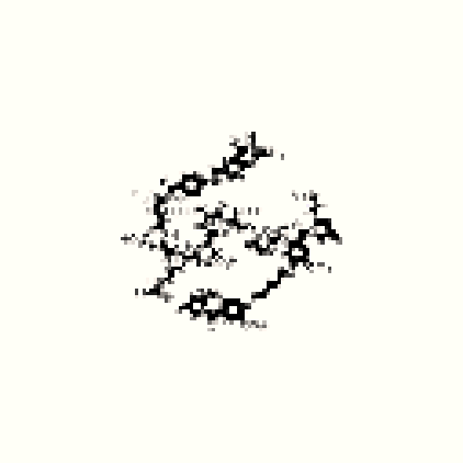 C=C1C[C@H]2C=Nc3cc(OCCCCCOc4cc(NC(O)OCC(C)SSC[C@H](NC(=O)[C@H](CC(=O)O)NC(=O)[C@H](CC(=O)O)NC(=O)[C@H](CCCNC(=N)N)NC(=O)[C@H](CC(=O)O)NC(=O)CC[C@H](NC(=O)c5ccc(NCc6cnc7nc(N)[nH]c(=O)c7n6)cc5)C(=O)O)C(=O)O)c(C(=O)N5CC(=C)C[C@H]5/C=N/OC)cc4OC)c(OC)cc3C(=O)N2C1